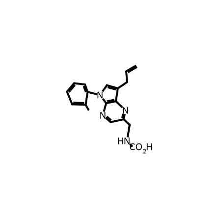 C=CCc1cn(-c2ccccc2C)c2ncc(CNC(=O)O)nc12